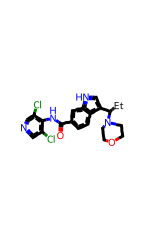 CCC(c1c[nH]c2cc(C(=O)Nc3c(Cl)cncc3Cl)ccc12)N1CCOCC1